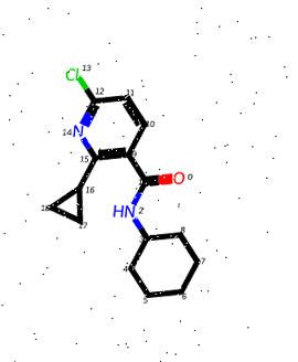 O=C(NC1CCCCC1)c1ccc(Cl)nc1C1CC1